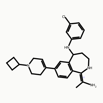 C/C(N)=C1/NCCC(Nc2cccc(Cl)c2)c2cc(C3=CCN(C4CCC4)CC3)ccc21